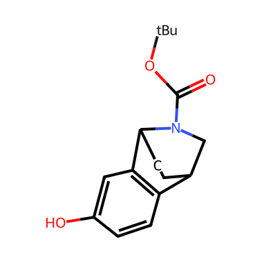 CC(C)(C)OC(=O)N1CC2CCC1c1cc(O)ccc12